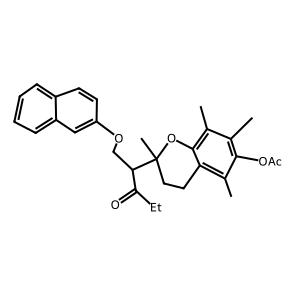 CCC(=O)C(COc1ccc2ccccc2c1)C1(C)CCc2c(C)c(OC(C)=O)c(C)c(C)c2O1